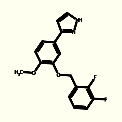 COc1ccc(-c2cc[nH]n2)cc1OCc1cccc(F)c1F